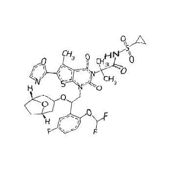 Cc1c(-c2ncco2)sc2c1c(=O)n(C(C)(C)C(=O)NS(=O)(=O)C1CC1)c(=O)n2CC(OC1C[C@H]2CC[C@@H](C1)O2)c1cc(F)ccc1OC(F)F